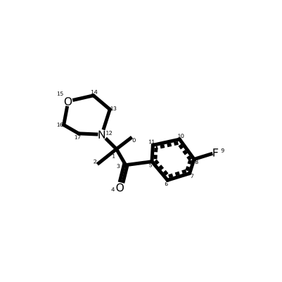 CC(C)(C(=O)c1ccc(F)cc1)N1CCOCC1